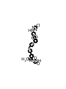 Cn1nc(N2CCC(=O)NC2=O)c2ccc(C3CCN(CC4CCN(c5cccc(S(=O)(=O)N6CCC(Nc7ncc(Cl)cn7)CC6)c5)CC4)CC3)cc21